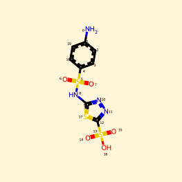 Nc1ccc(S(=O)(=O)Nc2nnc(S(=O)(=O)O)s2)cc1